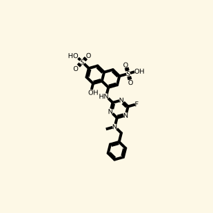 CN(Cc1ccccc1)c1nc(F)nc(Nc2cc(S(=O)(=O)O)cc3cc(S(=O)(=O)O)cc(O)c23)n1